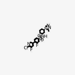 Cc1nncn1[C@@H]1CCC[C@H](NS(=O)(=O)c2ccc(-c3cnc(Cl)c(F)c3)c(F)c2)C1